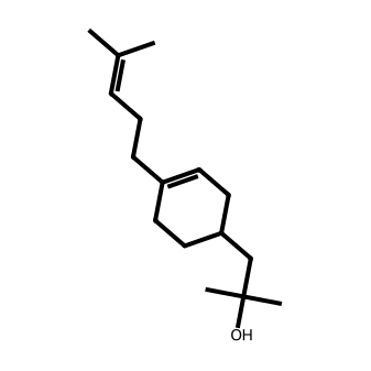 CC(C)=CCCC1=CCC(CC(C)(C)O)CC1